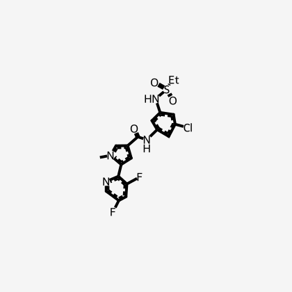 CCS(=O)(=O)Nc1cc(Cl)cc(NC(=O)c2cc(-c3ncc(F)cc3F)n(C)c2)c1